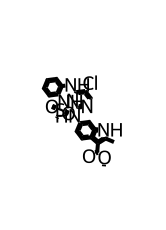 COC(=O)c1c(C)[nH]c2cc(Nc3ncc(Cl)c(Nc4ccccc4NS(C)(=O)=O)n3)ccc12